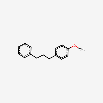 COc1ccc([CH]CCc2ccccc2)cc1